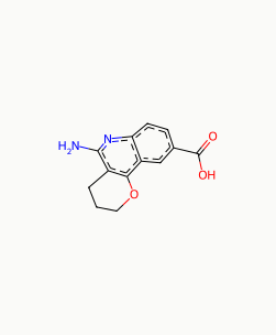 Nc1nc2ccc(C(=O)O)cc2c2c1CCCO2